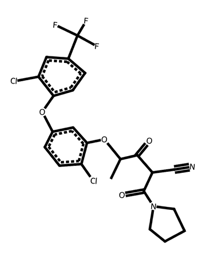 CC(Oc1cc(Oc2ccc(C(F)(F)F)cc2Cl)ccc1Cl)C(=O)C(C#N)C(=O)N1CCCC1